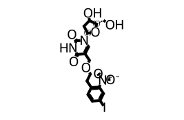 O=c1[nH]c(=O)n([C@@H]2CC(O)[C@H](CO)O2)cc1COCCc1ccc(I)cc1[N+](=O)[O-]